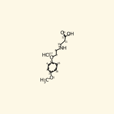 COc1ccc(OCCNCCC(=O)O)cc1.Cl